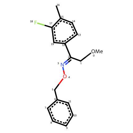 COC/C(=N\OCc1ccccc1)c1ccc(C)c(F)c1